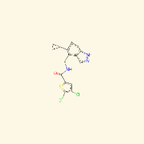 O=C(NCc1c(C2CC2)ccc2[nH]ncc12)c1cc(Cl)c(Cl)s1